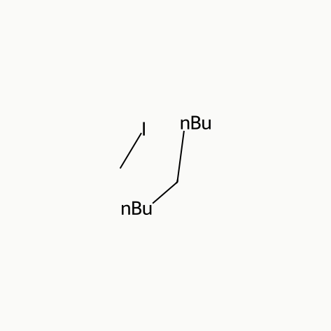 CCCCCCCCC.CI